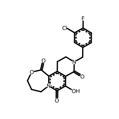 O=C1OCCCn2c1c1c(c(O)c2=O)C(=O)N(Cc2ccc(F)c(Cl)c2)CC1